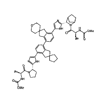 COC(=O)N[C@H](C(=O)N1CCC[C@H]1c1ncc(-c2ccc(-c3ccc(-c4cnc([C@@H]5C6CCC(C6)N5C(=O)[C@@H](NC(=O)OC)C(C)C)[nH]4)c4c3CC3(CCOCC3)C4)c3c2CC2(CCCC2)C3)[nH]1)C(C)C